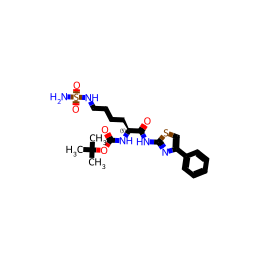 CC(C)(C)OC(=O)N[C@@H](CCCCNS(N)(=O)=O)C(=O)Nc1nc(-c2ccccc2)cs1